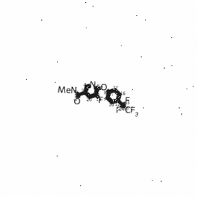 CNC(=O)c1cnc(Oc2ccc(C(F)(F)C(F)(F)F)cc2)c(F)c1